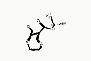 C[C@@H](NC(=O)c1nccnc1Cl)C(C)(C)C